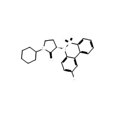 O=C1[C@H](N2c3ccc(Br)cc3-c3ccccc3S2(=O)=O)CCN1C1CCCCC1